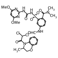 CC1COc2ccccc2N1C(=O)C(Cl)Cl.COc1cc(OC)nc(NC(=O)NS(=O)(=O)c2cc(NC=O)ccc2C(=O)N(C)C)n1